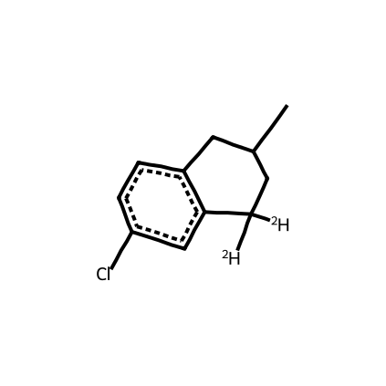 [2H]C1([2H])CC(C)Cc2ccc(Cl)cc21